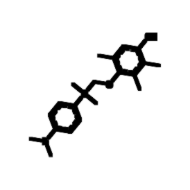 Cc1cc(O)c(C)c(C)c1OC[Si](C)(C)c1ccc(N(C)C)cc1